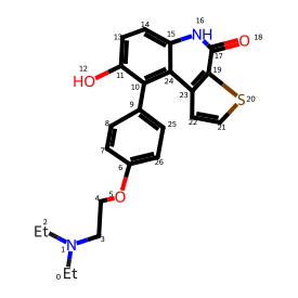 CCN(CC)CCOc1ccc(-c2c(O)ccc3[nH]c(=O)c4sccc4c23)cc1